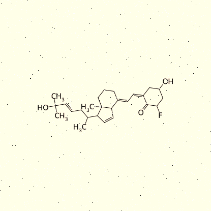 CC(C/C=C/C(C)(C)O)C1C=CC2/C(=C/C=C3/CC(O)CC(F)C3=O)CCCC21C